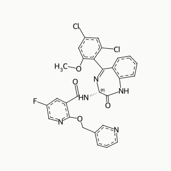 COc1cc(Cl)cc(Cl)c1C1=N[C@@H](NC(=O)c2cc(F)cnc2OCc2cccnc2)C(=O)Nc2ccccc21